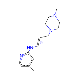 Cc1ccnc(N/C=C/CN2CCN(C)CC2)c1